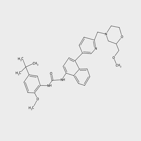 COCC1CN(Cc2ccc(-c3ccc(NC(=O)Nc4cc(C(C)(C)C)ccc4OC)c4ccccc34)cn2)CCO1